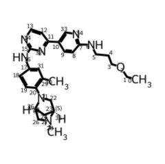 CCOCCCNc1ccc(-c2ccnc(Nc3ccc(N4C[C@@H]5C[C@H]4CN5C)c(C)c3)n2)cn1